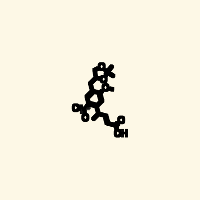 COc1cc(C(C)/C=C/C(=O)O)c([N+](=O)[O-])cc1CC1COC(C)(C)O1